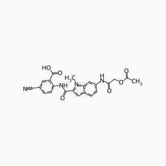 CC(=O)OCC(=O)Nc1ccc2cc(C(=O)Nc3ccc(C#N)cc3C(=O)O)n(C)c2c1